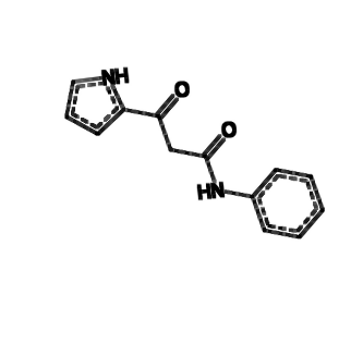 O=C(CC(=O)c1ccc[nH]1)Nc1ccccc1